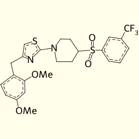 COc1ccc(Cc2csc(N3CCC(S(=O)(=O)c4cccc(C(F)(F)F)c4)CC3)n2)c(OC)c1